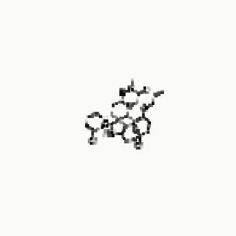 C=CCOc1ccc(I)cc1[C@H]1N2CC(=O)N(C)N=C2C[C@@H](C2C=CC=C(Cl)C2)[C@]12C(=O)Nc1cc(Cl)ccc12